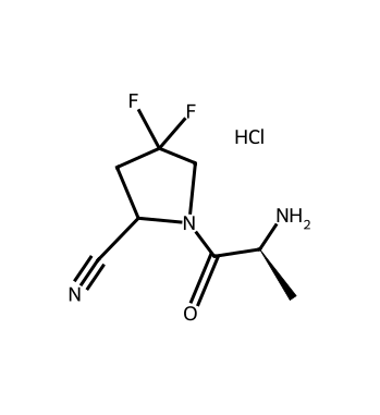 C[C@H](N)C(=O)N1CC(F)(F)CC1C#N.Cl